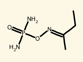 CCC(C)=NOP(N)(N)=O